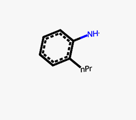 CCCc1ccccc1[NH]